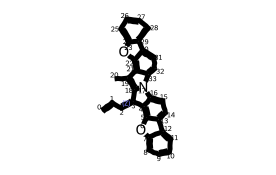 C=C/C=c1/c2c3oc4ccccc4c3ccc2n2c1c(C)c1c3oc4ccccc4c3ccc12